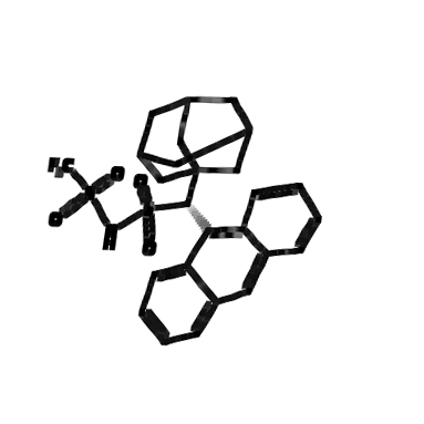 O=S(=O)(NS(=O)(=O)C(F)(F)F)[C@@H](c1c2ccccc2cc2ccccc12)C12CC3CC(CC(C3)C1)C2